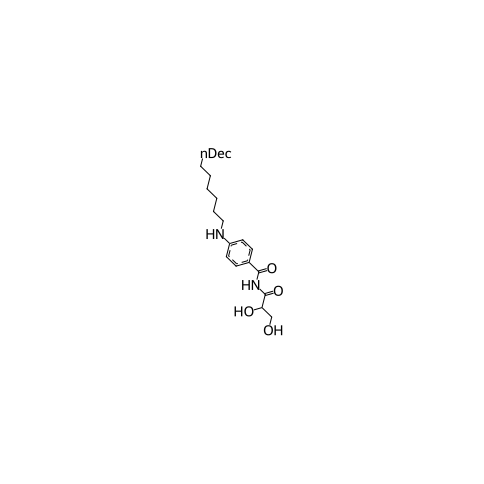 CCCCCCCCCCCCCCCCNc1ccc(C(=O)NC(=O)C(O)CO)cc1